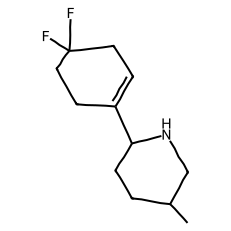 CC1CCC(C2=CCC(F)(F)CC2)NC1